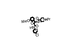 COc1cccc2c(NC(=O)C3CCN(C(C)C)CC3)c(C(=O)Nc3ccc(Cl)cn3)oc12